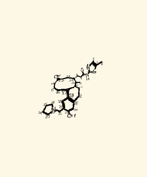 Cc1cnc(NC(=O)CC[C@@H]2CC(=O)CCCC3c4cc(CN5CCCC5)c(O)cc4CCC3C2C)s1